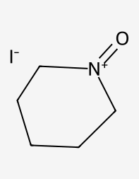 O=[N+]1CCCCC1.[I-]